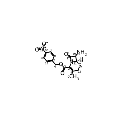 CC1=C(C(=O)OCc2ccc([N+](=O)[O-])cc2)N2C(=O)C(N)[C@H]2SC1